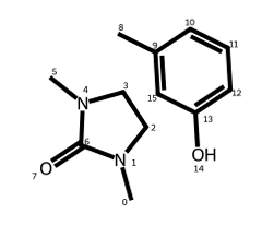 CN1CCN(C)C1=O.Cc1cccc(O)c1